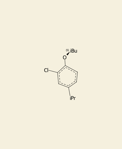 CC[C@H](C)Oc1ccc(C(C)C)cc1Cl